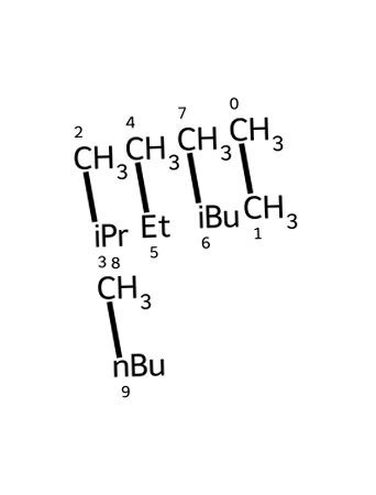 CC.CC(C)C.CCC.CCC(C)C.CCCCC